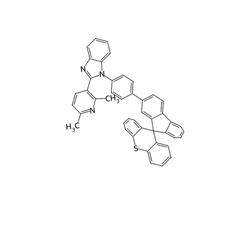 Cc1ccc(-c2nc3ccccc3n2-c2ccc(-c3ccc4c(c3)C3(c5ccccc5Sc5ccccc53)c3ccccc3-4)cc2)c(C)n1